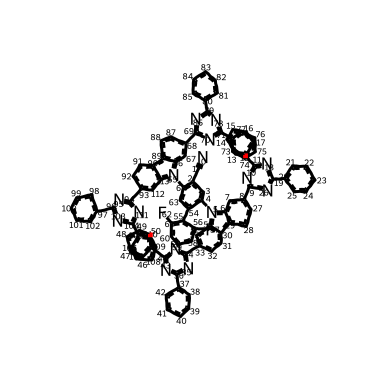 N#Cc1cc(-n2c3cc(-c4nc(-c5ccccc5)nc(-c5ccccc5)n4)ccc3c3ccc(-c4nc(-c5ccccc5)nc(-c5ccccc5)n4)cc32)c(-c2c(F)cccc2F)cc1-n1c2cc(-c3nc(-c4ccccc4)nc(-c4ccccc4)n3)ccc2c2ccc(-c3nc(-c4ccccc4)nc(-c4ccccc4)n3)cc21